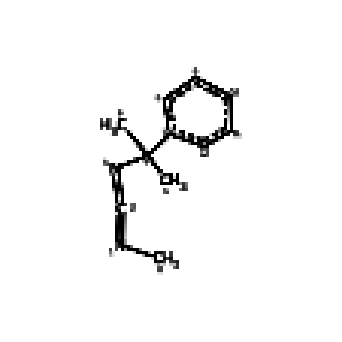 CN=C=NC(C)(C)c1ccccc1